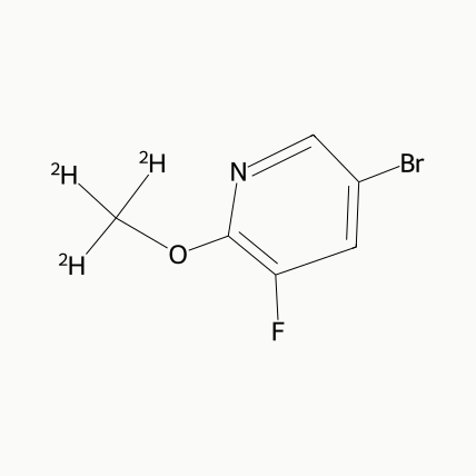 [2H]C([2H])([2H])Oc1ncc(Br)cc1F